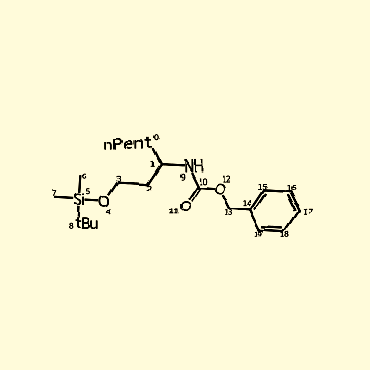 CCCCCC(CCO[Si](C)(C)C(C)(C)C)NC(=O)OCc1ccccc1